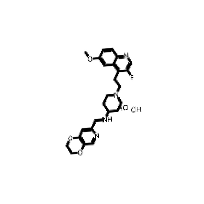 COc1ccc2ncc(F)c(CCN3CCC(NCc4cc5c(cn4)OCCO5)CC3)c2c1.Cl.Cl